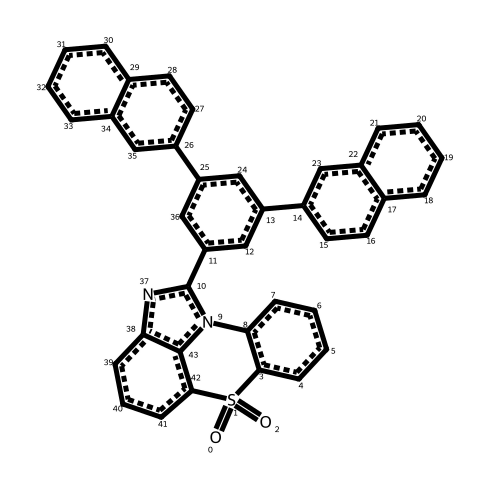 O=S1(=O)c2ccccc2-n2c(-c3cc(-c4ccc5ccccc5c4)cc(-c4ccc5ccccc5c4)c3)nc3cccc1c32